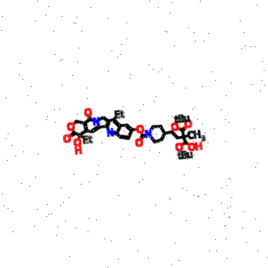 CCc1c2c(nc3ccc(OC(=O)N4CCC(CCC(C)(C(=O)OC(C)(C)C)C(O)OC(C)(C)C)CC4)cc13)-c1cc3c(c(=O)n1C2)COC(=O)C3(O)CC